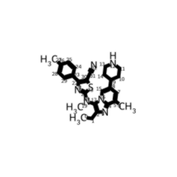 CCc1nc2c(C)cc(C3CCNCC3)cn2c1N(C)c1nc(-c2ccc(C)cc2)c(C#N)s1